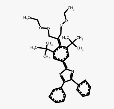 CCOOCC(COOCC)=c1c(C(C)(C)C)cc(=C2N=C(c3ccccc3)C(c3ccccc3)=N2)cc1C(C)(C)C